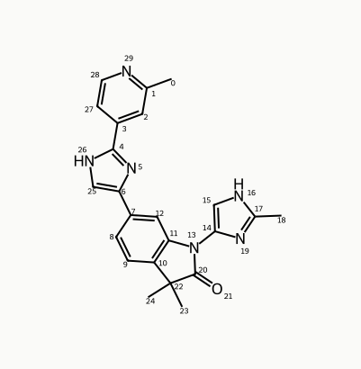 Cc1cc(-c2nc(-c3ccc4c(c3)N(c3c[nH]c(C)n3)C(=O)C4(C)C)c[nH]2)ccn1